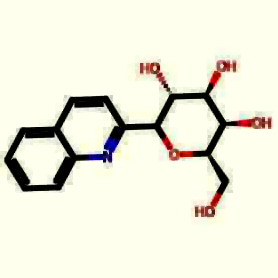 OC[C@H]1OC(c2ccc3ccccc3n2)[C@H](O)[C@@H](O)[C@H]1O